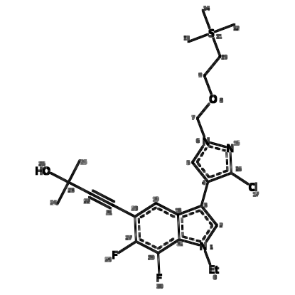 CCn1cc(-c2cn(COCCS(C)(C)C)nc2Cl)c2cc(C#CC(C)(C)O)c(F)c(F)c21